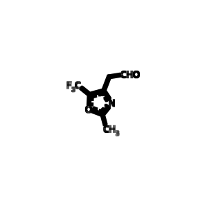 Cc1nc(CC=O)c(C(F)(F)F)o1